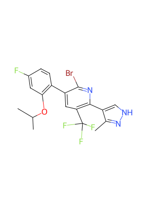 Cc1n[nH]cc1-c1nc(Br)c(-c2ccc(F)cc2OC(C)C)cc1C(F)(F)F